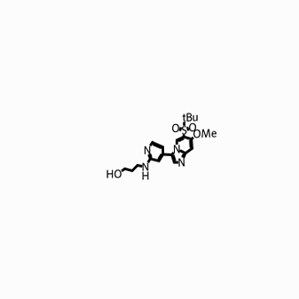 COc1cc2ncc(-c3ccnc(NCCCO)c3)n2cc1S(=O)(=O)C(C)(C)C